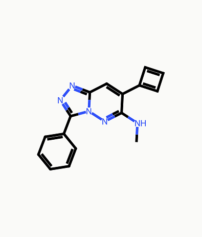 CNc1nn2c(-c3ccccc3)nnc2cc1C1=CC=C1